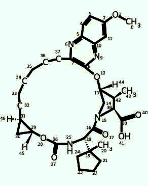 COc1ccc2nc3c(nc2c1)O[C@H]1CN(C(=O)[C@H](C2(C)CCCC2)NC(=O)O[C@@H]2C[C@H]2CCCCCC3)[C@H](C(=O)O)[C@@H]1C